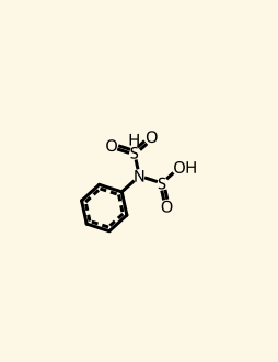 O=S(O)N(c1ccccc1)[SH](=O)=O